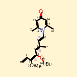 C=C\C(OC)=C(/C=C(C)/C=C/n1c(C)cc(=O)cc1C)OCCCC